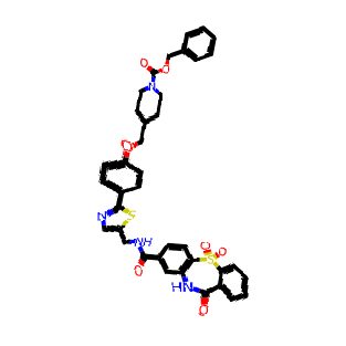 O=C(NCc1cnc(-c2ccc(OCC3CCN(C(=O)OCc4ccccc4)CC3)cc2)s1)c1ccc2c(c1)NC(=O)c1ccccc1S2(=O)=O